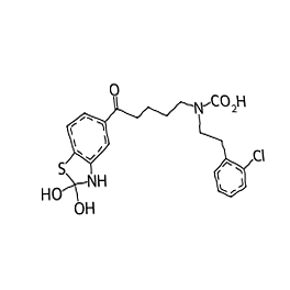 O=C(CCCCN(CCc1ccccc1Cl)C(=O)O)c1ccc2c(c1)NC(O)(O)S2